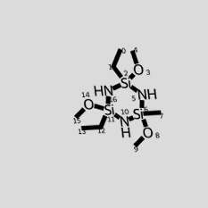 CC[Si]1(OC)N[Si](C)(OC)N[Si](CC)(OC)N1